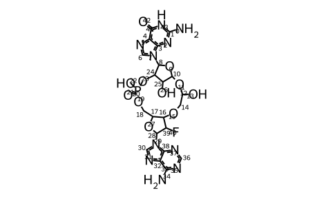 Nc1nc2c(ncn2C2OC3OC(O)COC4C(COP(=O)(O)OC2C3O)OC(n2cnc3c(N)ncnc32)C4F)c(=O)[nH]1